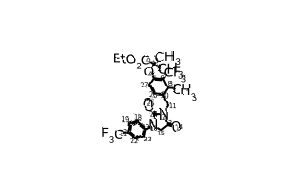 CCOC(=O)C(C)(C)OC1=C(C(F)(F)F)C(C)C(CN2C(=O)CN(c3ccc(C(F)(F)F)cc3)C2=O)C=C1